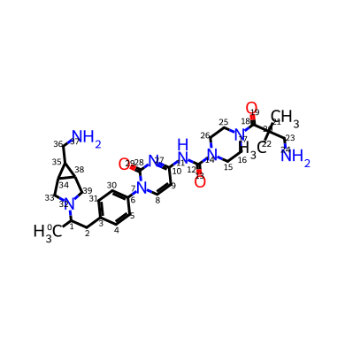 CC(Cc1ccc(-n2ccc(NC(=O)N3CCN(C(=O)C(C)(C)CN)CC3)nc2=O)cc1)N1CC2C(CN)C2C1